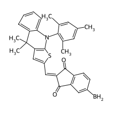 Bc1ccc2c(c1)C(=O)/C(=C/c1cc3c(s1)N(c1c(C)cc(C)cc1C)c1ccccc1C3(C)C)C2=O